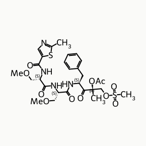 COC[C@H](NC(=O)c1cnc(C)s1)C(=O)N[C@@H](COC)C(=O)N[C@@H](Cc1ccccc1)C(=O)[C@@](C)(COS(C)(=O)=O)OC(C)=O